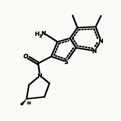 Cc1nnc2sc(C(=O)N3CC[C@H](C)C3)c(N)c2c1C